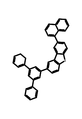 C1=CCCC(c2cc(-c3ccccc3)cc(-c3ccc4sc5ccc(-c6cccc7ccccc67)cc5c4c3)c2)=C1